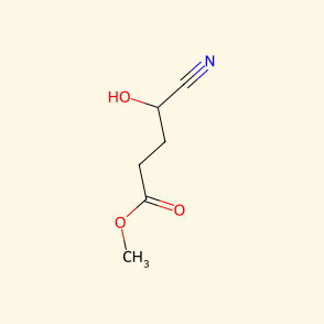 COC(=O)CCC(O)C#N